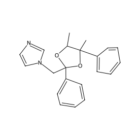 CC1OC(Cn2ccnc2)(c2ccccc2)OC1(C)c1ccccc1